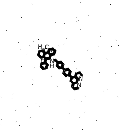 Cc1cccc2c1[C@]1(C)CCC=C[C@H]1C(c1ccccc1)=C2NCc1ccc(-c2ccc(C3Cc4cccnc4C4=C3CCC=N4)cc2)cc1